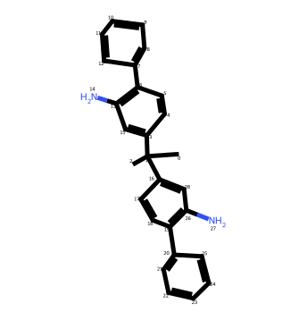 CC(C)(c1ccc(-c2ccccc2)c(N)c1)c1ccc(-c2ccccc2)c(N)c1